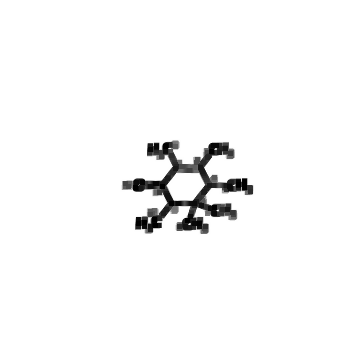 CC1=C(C)C(C)C(C)(C)C(C)C1=O